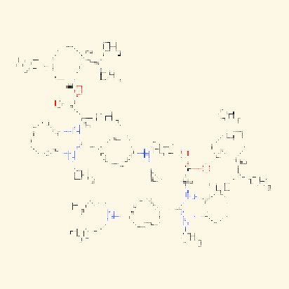 CCN(CC)c1ccc(-c2n([C@@H](C(=O)O[C@@H]3C[C@H](C)CC[C@H]3C(C)C)C3C=C3N(CC)c3ccc(-c4n([C@H](C)C(=O)O[C@@H]5C[C@H](C)CC[C@H]5C(C)C)c5ccccc5[n+]4C)cc3)c3ccccc3[n+]2C)cc1